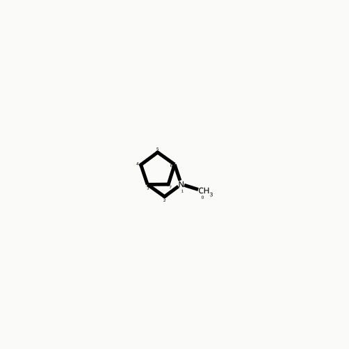 CN1[CH]C2CCC1C2